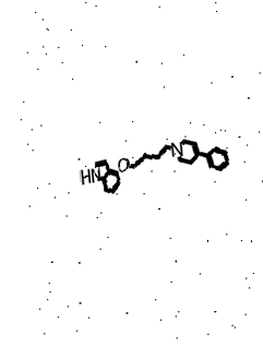 C1=C(c2ccccc2)CCN(CCCCOc2cccc3[nH]ccc23)C1